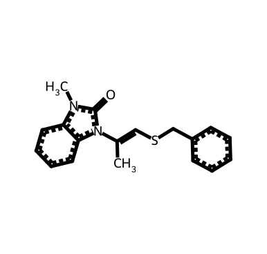 CC(=CSCc1ccccc1)n1c(=O)n(C)c2ccccc21